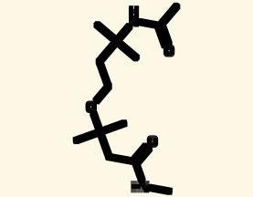 CNC(=O)CC(C)(C)OCCC(C)(C)NC(C)=O